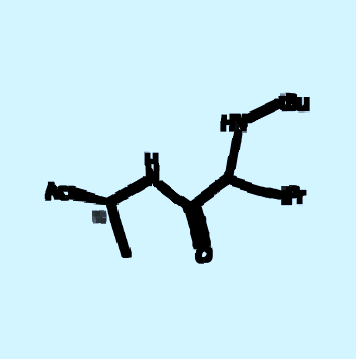 CC(=O)[C@H](C)NC(=O)C(NC(C)(C)C)C(C)C